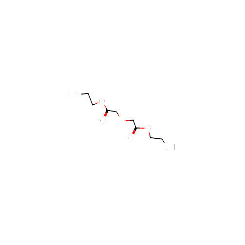 CCCOC(=O)COCC(=O)OCCC